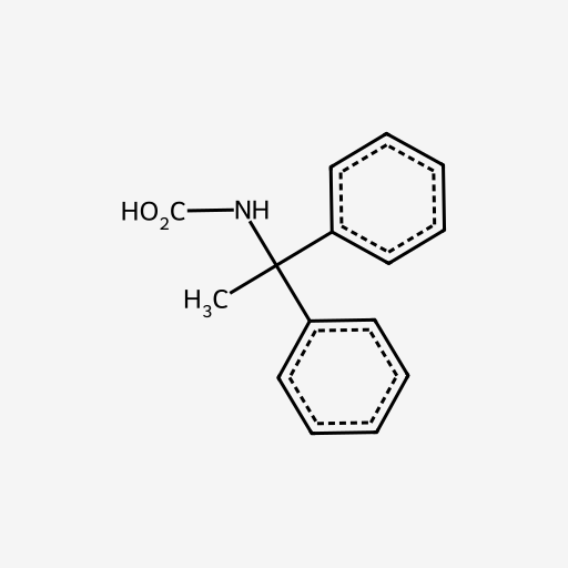 CC(NC(=O)O)(c1ccccc1)c1ccccc1